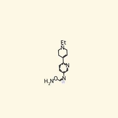 CCN1CC=C(c2ccc(/N=C\ON)cn2)CC1